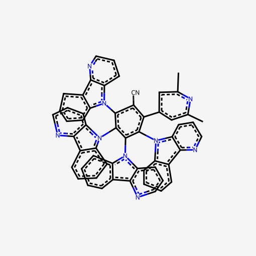 Cc1cc(-c2c(C#N)c(-n3c4ccccc4c4ncccc43)c(-n3c4ccccc4c4ncccc43)c(-n3c4ccccc4c4ncccc43)c2-n2c3ccccc3c3ncccc32)cc(C)n1